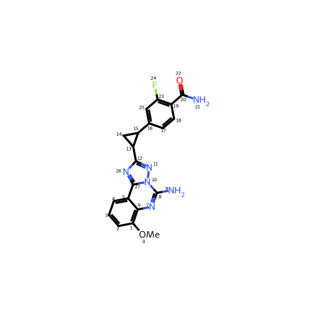 COc1cccc2c1nc(N)n1nc(C3CC3c3ccc(C(N)=O)c(F)c3)nc21